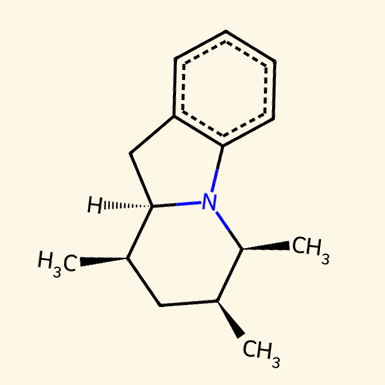 C[C@@H]1C[C@H](C)[C@H](C)N2c3ccccc3C[C@H]12